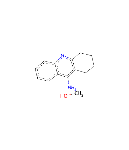 CO.Nc1c2c(nc3ccccc13)CCCC2